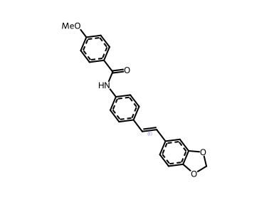 COc1ccc(C(=O)Nc2ccc(/C=C/c3ccc4c(c3)OCO4)cc2)cc1